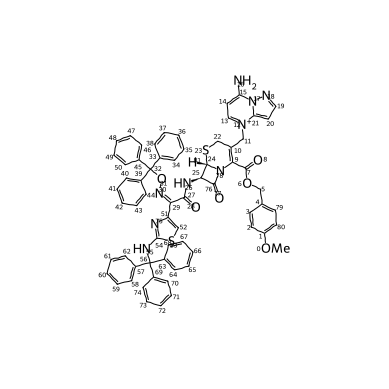 COc1ccc(COC(=O)C2=C(C[n+]3ccc(N)n4nccc43)CS[C@H]3[C@H](NC(=O)C(=NOC(c4ccccc4)(c4ccccc4)c4ccccc4)c4csc(NC(c5ccccc5)(c5ccccc5)c5ccccc5)n4)C(=O)N23)cc1